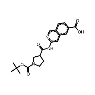 CC(C)(C)OC(=O)N1CCC(C(=O)Nc2cc3cc(C(=O)O)ccc3cn2)C1